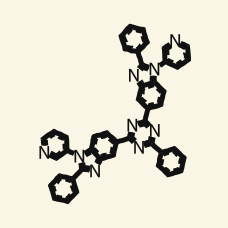 c1ccc(-c2nc(-c3ccc4c(c3)nc(-c3ccccc3)n4-c3cccnc3)nc(-c3ccc4c(c3)nc(-c3ccccc3)n4-c3cccnc3)n2)cc1